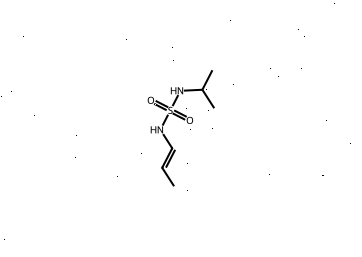 CC=CNS(=O)(=O)NC(C)C